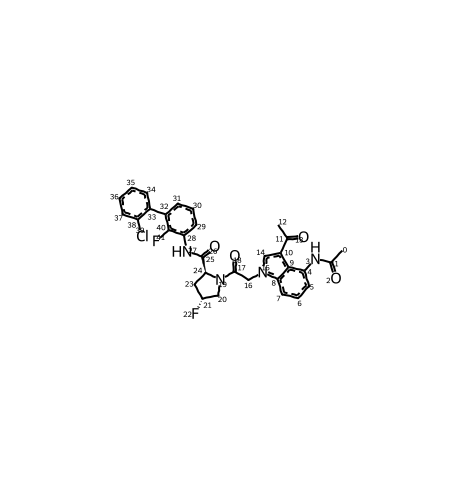 CC(=O)Nc1cccc2c1c(C(C)=O)cn2CC(=O)N1C[C@H](F)C[C@H]1C(=O)Nc1cccc(-c2ccccc2Cl)c1F